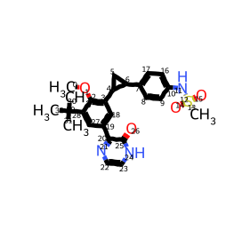 COc1c(C2CC2c2ccc(NS(C)(=O)=O)cc2)cc(-c2ncc[nH]c2=O)cc1C(C)(C)C